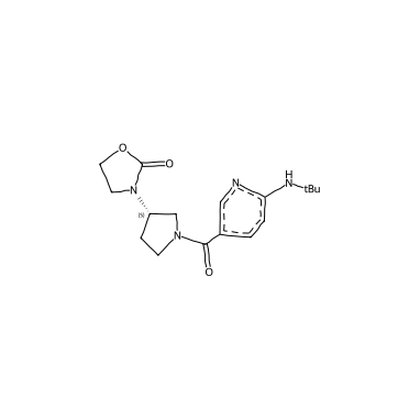 CC(C)(C)Nc1ccc(C(=O)N2CC[C@H](N3CCOC3=O)C2)cn1